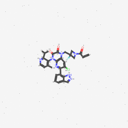 C=CC(=O)N1CC(F)(Cn2c(=O)c(=O)n(-c3c(C)ccnc3C(C)C)c3nc(-c4cccc5cn[nH]c45)c(Cl)cc32)C1